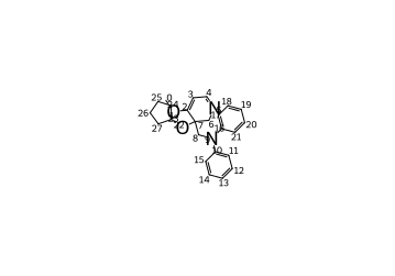 COC1=CC=NCC1(CN(c1ccccc1)c1ccccc1)OC1CCCC1